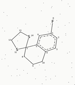 Fc1ccc2c(c1)C1(CCC2)SCCS1